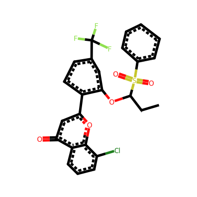 C[CH]C(Oc1cc(C(F)(F)F)ccc1-c1cc(=O)c2cccc(Cl)c2o1)S(=O)(=O)c1ccccc1